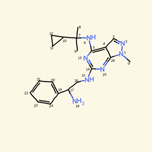 Cn1ncc2c(NC(C)(C)C3CC3)nc(NCC(N)c3ccccc3)nc21